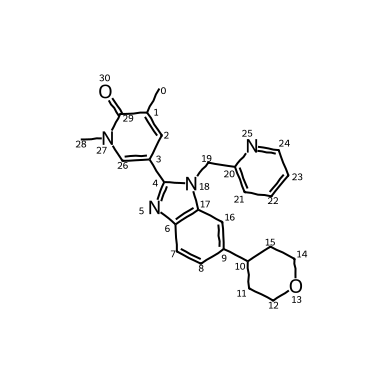 Cc1cc(-c2nc3ccc(C4CCOCC4)cc3n2Cc2ccccn2)cn(C)c1=O